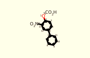 O=C(O)Oc1ccc(-c2ccccc2)cc1[N+](=O)[O-]